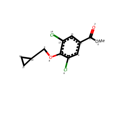 COC(=O)c1cc(Cl)c(OCC2CC2)c(Cl)c1